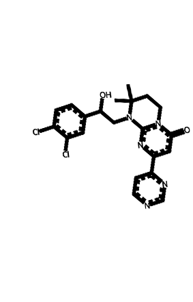 CC1(C)CCn2c(nc(-c3ccncn3)cc2=O)N1CC(O)c1ccc(Cl)c(Cl)c1